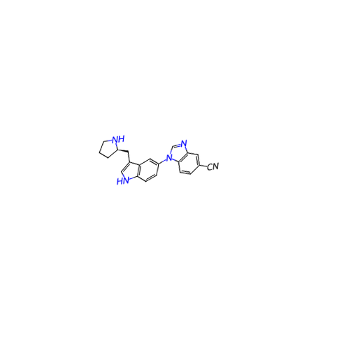 N#Cc1ccc2c(c1)ncn2-c1ccc2[nH]cc(C[C@H]3CCCN3)c2c1